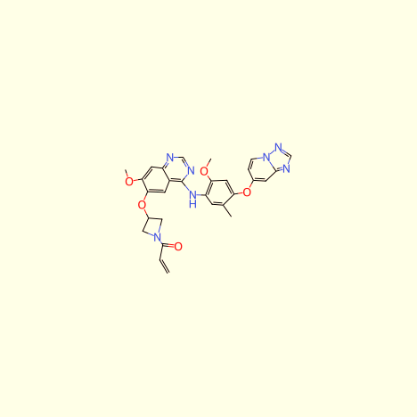 C=CC(=O)N1CC(Oc2cc3c(Nc4cc(C)c(Oc5ccn6ncnc6c5)cc4OC)ncnc3cc2OC)C1